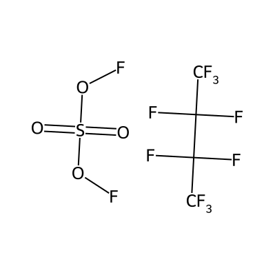 FC(F)(F)C(F)(F)C(F)(F)C(F)(F)F.O=S(=O)(OF)OF